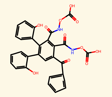 O=C(O)ONC(=O)c1c(C(=O)c2ccccc2)cc(-c2ccccc2O)c(-c2ccccc2O)c1C(=O)NOC(=O)O